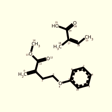 C=C(CCOc1ccccc1)C(=O)OC.CC=C(C)C(=O)O